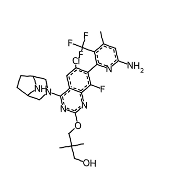 Cc1cc(N)nc(-c2c(Cl)cc3c(N4CC5CCC(C4)N5)nc(OCC(C)(C)CO)nc3c2F)c1C(F)(F)F